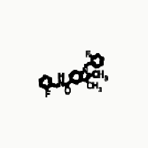 Cc1c(C)n(Cc2ccccc2F)c2ccc(C(=O)NCc3ccccc3F)cc12